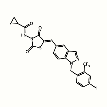 O=C(NN1C(=O)S/C(=C\c2ccc3c(cnn3Cc3ccc(I)cc3C(F)(F)F)c2)C1=O)C1CC1